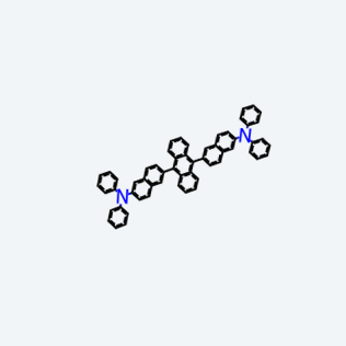 c1ccc(N(c2ccccc2)c2ccc3cc(-c4c5ccccc5c(-c5ccc6cc(N(c7ccccc7)c7ccccc7)ccc6c5)c5ccccc45)ccc3c2)cc1